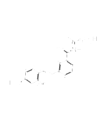 C[C@H](NC(=O)c1cccc(COc2ccc(C(F)(F)F)cc2Cl)c1)C(=O)O